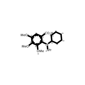 CCCN(c1c(C(=O)O)cc(OC)c(OC)c1OC)C1CCCCC1